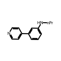 CCCNc1cc[c]c(-c2ccncc2)c1